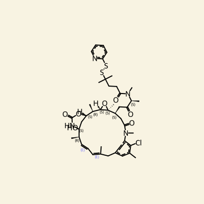 C/C1=C\C=C\[C@@H](C)[C@@]2(O)C[C@H](OC(=O)N2)[C@@H](C)[C@@H]2O[C@@]2(C)[C@@H](CC(=O)[C@H](C)N(C)C(=O)CCC(C)(C)SSc2ccccn2)CC(=O)N(C)c2cc(cc(C)c2Cl)C1